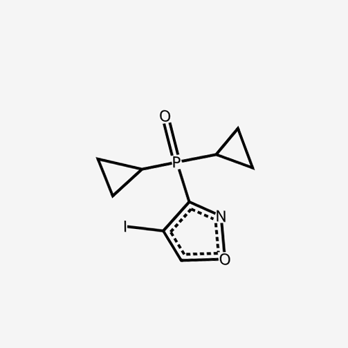 O=P(c1nocc1I)(C1CC1)C1CC1